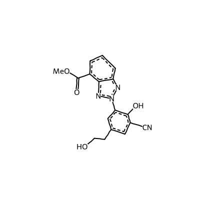 COC(=O)c1cccc2nn(-c3cc(CCO)cc(C#N)c3O)nc12